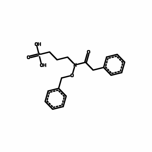 O=C(Cc1ccccc1)N(CCCP(=O)(O)O)OCc1ccccc1